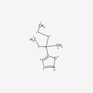 CCCC(C)(CC)c1ccno1